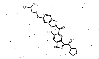 CN(C)CCOc1ccc2c(c1)CN(C(=O)c1cc3c(C(=O)C4CCCC4)n[nH]c3cc1O)C2